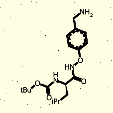 CC(C)C[C@@H](NC(=O)OC(C)(C)C)C(=O)NOc1ccc(CN)cc1